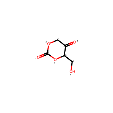 O=C1OCC(=O)C(CO)O1